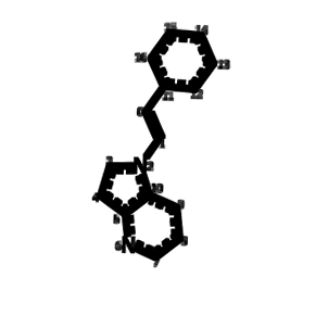 C(=Cn1ccc2ncccc21)c1ccccc1